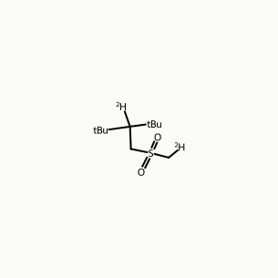 [2H]CS(=O)(=O)CC([2H])(C(C)(C)C)C(C)(C)C